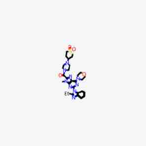 CCc1nc2ccccc2n1-c1nc(N2CCOCC2)c2nc(C(=O)N3CCN(C4CCS(=O)(=O)CC4)CC3)n(C)c2n1